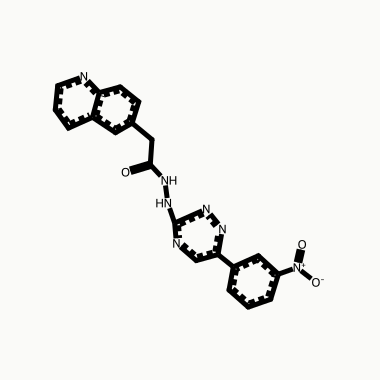 O=C(Cc1ccc2ncccc2c1)NNc1ncc(-c2cccc([N+](=O)[O-])c2)nn1